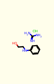 Cl.N=C(N)N.OCCNc1ccccc1